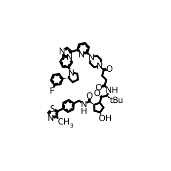 Cc1ncsc1-c1ccc(CNC(=O)[C@@H]2C[C@@H](O)CC2C(=O)[C@@H](NC(=O)CCC(=O)N2CCN(c3cccc(-c4cnc5ccc(N6CCC[C@@H]6c6cccc(F)c6)cn45)n3)CC2)C(C)(C)C)cc1